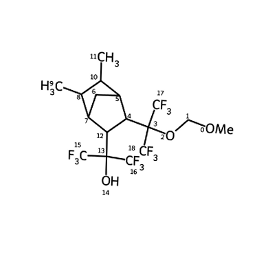 COCOC(C1C2CC(C(C)C2C)C1C(O)(C(F)(F)F)C(F)(F)F)(C(F)(F)F)C(F)(F)F